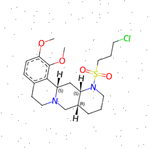 COc1ccc2c(c1OC)[C@@H]1C[C@H]3[C@H](CCCN3S(=O)(=O)CCCCl)CN1CC2